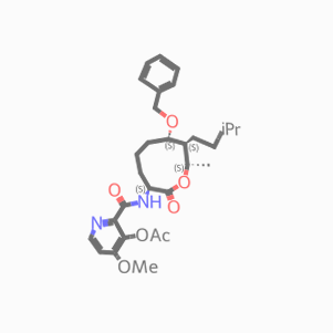 COc1ccnc(C(=O)N[C@H]2CCC[C@H](OCc3ccccc3)[C@@H](CCC(C)C)[C@H](C)OC2=O)c1OC(C)=O